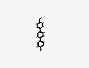 FCc1ccc(-c2ccc(-c3ccc(F)cc3)cc2)cc1